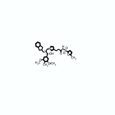 COc1cc([C@@H](O)[C@@H](CC2Cc3ccccc3C2)Cn2ccc(CCC(=O)NS(=O)(=O)c3ccc(C)o3)c2)cc(OC)c1C